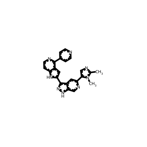 Cc1ncc(-c2cc3c(-c4cc5c(-c6ccncc6)nccc5[nH]4)n[nH]c3cn2)n1C